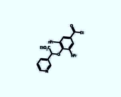 CCCc1cc(C(=O)CC)cc(CCC)c1OC(C(=O)OCC)c1cccnc1